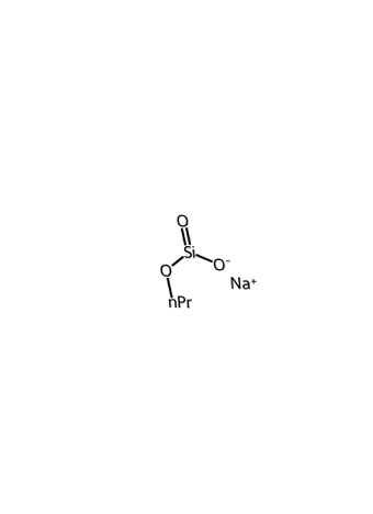 CCCO[Si](=O)[O-].[Na+]